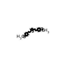 COc1ccc(C=Cc2ccc(C=Cc3ccc(OC)cc3)s2)cc1